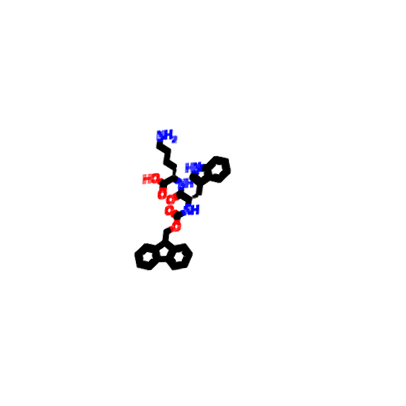 NCCCC[C@H](NC(=O)[C@H](Cc1c[nH]c2ccccc12)NC(=O)OCC1c2ccccc2-c2ccccc21)C(=O)O